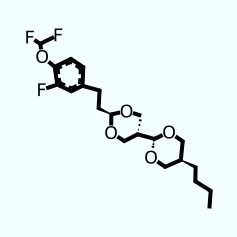 CCCC[C@H]1CO[C@H]([C@H]2CO[C@H](CCc3ccc(OC(F)F)c(F)c3)OC2)OC1